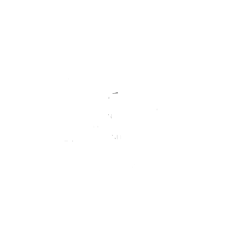 CCCCC[C@@H](CNC(=O)Nc1c(C(C)C)cccc1C(C)C)c1cccc2c1OCO2